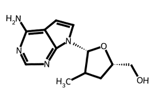 CC1C[C@@H](CO)O[C@H]1n1ccc2c(N)ncnc21